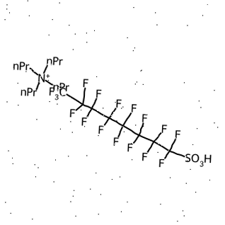 CCC[N+](CCC)(CCC)CCC.O=S(=O)(O)C(F)(F)C(F)(F)C(F)(F)C(F)(F)C(F)(F)C(F)(F)C(F)(F)C(F)(F)F